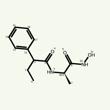 CCC(C(=O)N[C@H](C)C(=O)NO)c1ccccc1